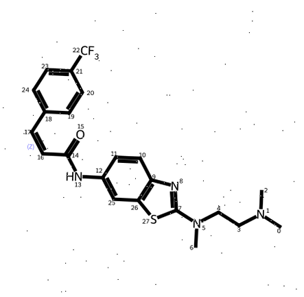 CN(C)CCN(C)c1nc2ccc(NC(=O)/C=C\c3ccc(C(F)(F)F)cc3)cc2s1